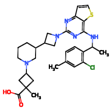 Cc1ccc(C(C)Nc2nc(N3CC(C4CCCN(C5CC(C)(C(=O)O)C5)C4)C3)nc3ccsc23)c(Cl)c1